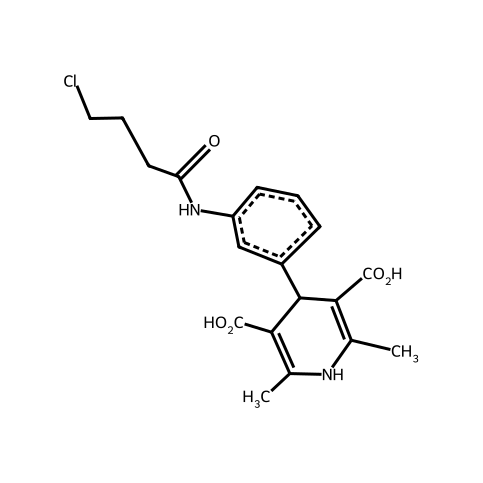 CC1=C(C(=O)O)C(c2cccc(NC(=O)CCCCl)c2)C(C(=O)O)=C(C)N1